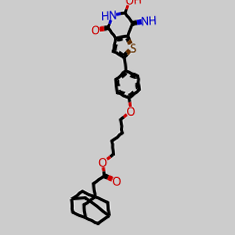 N=C1c2sc(-c3ccc(OCCCCOC(=O)CC45CC6CC(CC(C6)C4)C5)cc3)cc2C(=O)NC1O